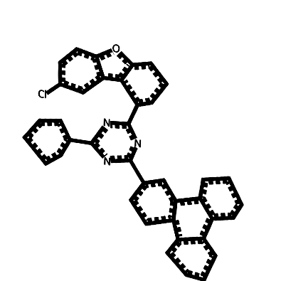 Clc1ccc2oc3cccc(-c4nc(-c5ccccc5)nc(-c5ccc6c7ccccc7c7ccccc7c6c5)n4)c3c2c1